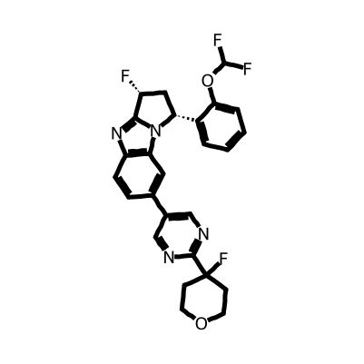 FC(F)Oc1ccccc1[C@H]1C[C@@H](F)c2nc3ccc(-c4cnc(C5(F)CCOCC5)nc4)cc3n21